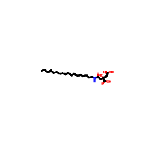 CCCCCCCCC=CCCCCCCCCNC(=O)CC(O)(CC(=O)O)C(=O)O